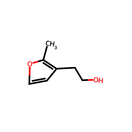 Cc1occc1CCO